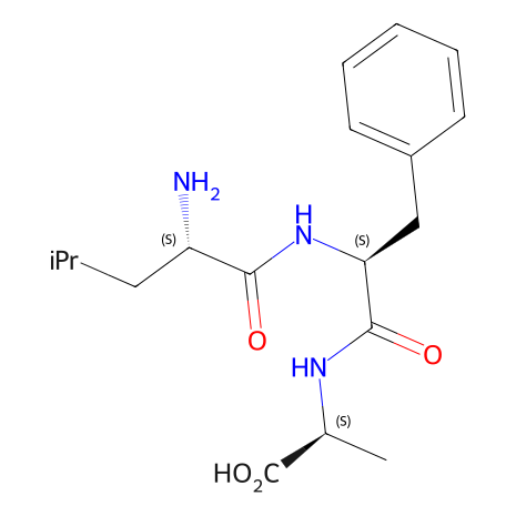 CC(C)C[C@H](N)C(=O)N[C@@H](Cc1ccccc1)C(=O)N[C@@H](C)C(=O)O